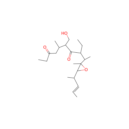 CC=CC(C)C1OC1(C)C(C)C(CC)C(=O)C(CO)C(C)CC(=O)CC